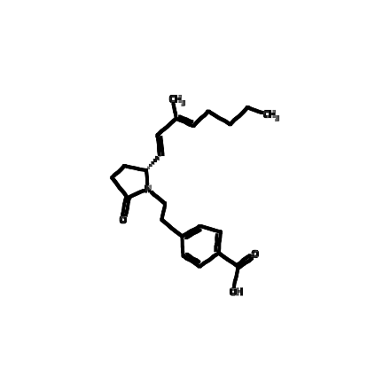 CCCCC=C(C)C=C[C@H]1CCC(=O)N1CCc1ccc(C(=O)O)cc1